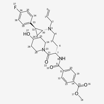 C=CCN(CCC[C@H](NC(=O)c1ccc(C(=O)OC)cc1)C(=O)N1CCC(O)CC1)[C@@H]1C[C@H]1c1ccc(F)cc1